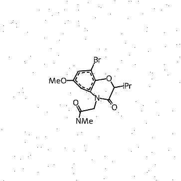 CNC(=O)CN1C(=O)C(C(C)C)Oc2c(Br)cc(OC)cc21